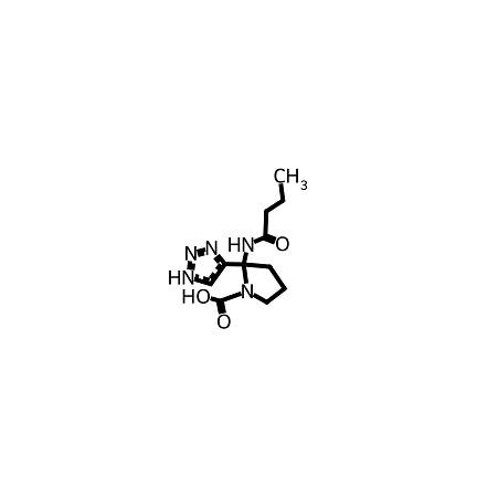 CCCC(=O)NC1(c2c[nH]nn2)CCCN1C(=O)O